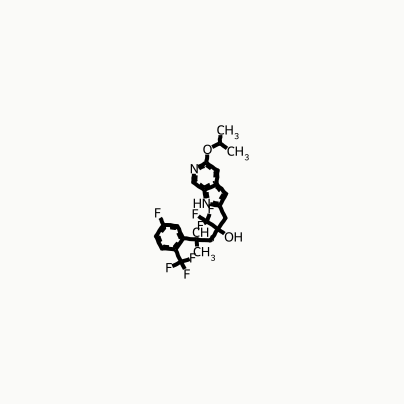 CC(C)Oc1cc2cc(CC(O)(CC(C)(C)c3cc(F)ccc3C(F)(F)F)C(F)(F)F)[nH]c2cn1